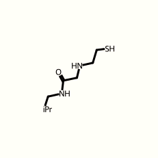 CC(C)CNC(=O)CNCCS